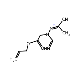 C=CCOC(=O)CN(C=N)/N=C(\C)C#N